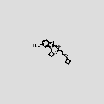 Cc1ccc2nc(NC(=O)CCOC3CCC3)n(C3CCC3)c2n1